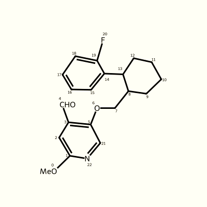 COc1cc(C=O)c(OCC2CCCCC2c2ccccc2F)cn1